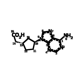 Nc1ncnc2c1ncn2[C@H]1CC[C@H](CC(=O)O)C1